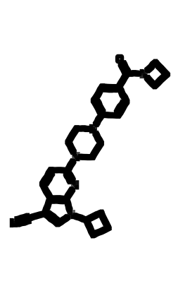 N#Cc1cn(C2CCC2)c2nc(N3CCN(c4ccc(C(=O)N5CCC5)cc4)CC3)ccc12